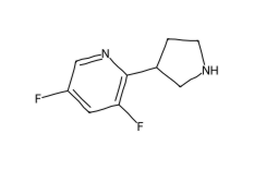 Fc1cnc(C2CCNC2)c(F)c1